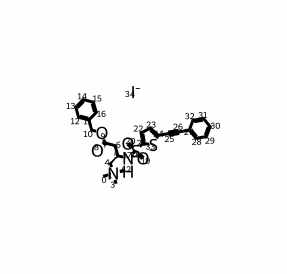 C[N+](C)(C)C[C@@H](CC(=O)OCc1ccccc1)NS(=O)(=O)c1ccc(C#Cc2ccccc2)s1.[I-]